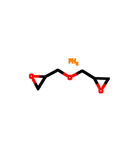 C(OCC1CO1)C1CO1.P